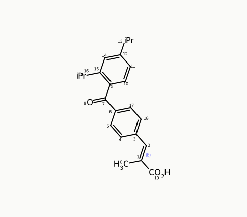 C/C(=C\c1ccc(C(=O)c2ccc(C(C)C)cc2C(C)C)cc1)C(=O)O